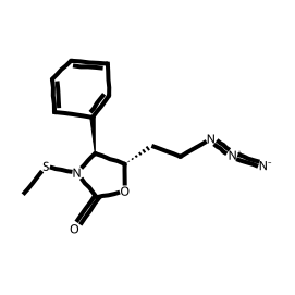 CSN1C(=O)O[C@@H](CCN=[N+]=[N-])[C@@H]1c1ccccc1